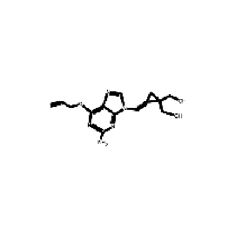 C=CCOc1nc(N)nc2c1ncn2/C=C1\CC1(CO)CO